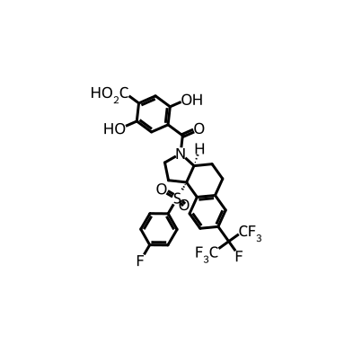 O=C(O)c1cc(O)c(C(=O)N2CC[C@]3(S(=O)(=O)c4ccc(F)cc4)c4ccc(C(F)(C(F)(F)F)C(F)(F)F)cc4CC[C@H]23)cc1O